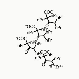 CCCC(CCC)C(=O)C(CCC)(CCC)C(=O)[O-].CCCC(CCC)C(=O)C(CCC)(CCC)C(=O)[O-].CCCC(CCC)C(=O)C(CCC)(CCC)C(=O)[O-].CCCC(CCC)C(=O)C(CCC)(CCC)C(=O)[O-].[Zr+4]